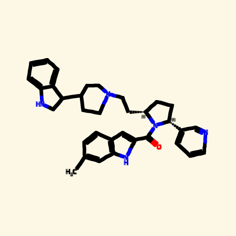 Cc1ccc2cc(C(=O)N3[C@H](CCN4CCC(C5CNc6ccccc65)CC4)CC[C@@H]3c3cccnc3)[nH]c2c1